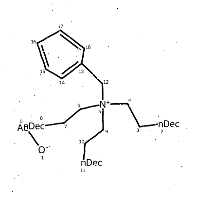 CC(=O)[O-].CCCCCCCCCCCC[N+](CCCCCCCCCCCC)(CCCCCCCCCCCC)Cc1ccccc1